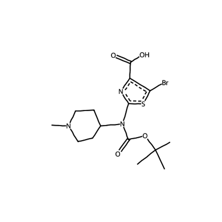 CN1CCC(N(C(=O)OC(C)(C)C)c2nc(C(=O)O)c(Br)s2)CC1